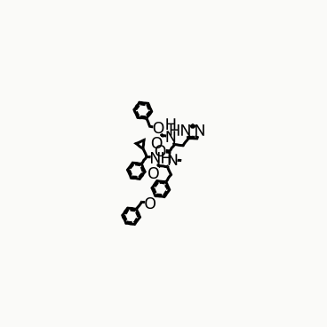 CN(C(=O)C(Cc1cnc[nH]1)NC(=O)OCc1ccccc1)C(Cc1ccc(OCc2ccccc2)cc1)C(=O)NC(c1ccccc1)C1CC1